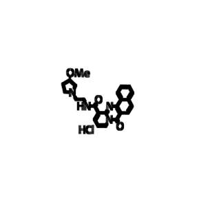 CO[C@H]1CCN(CCNC(=O)c2cccn3c(=O)c4ccc5ccccc5c4nc23)C1.Cl